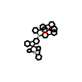 c1ccc(-c2ccc(-c3ccccc3N(c3ccc4c(c3)-c3ccccc3C43c4ccccc4-n4c5ccccc5c5cccc3c54)c3ccc4c(c3)C3(c5ccccc5-c5ccccc53)c3ccccc3-4)cc2)cc1